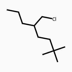 CCCC(CCl)CCC(C)(C)C